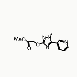 COC(=O)COc1nc(-c2cccnc2)n(C)n1